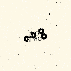 Oc1ccccc1.Oc1ccccc1.c1ccc(-c2ccccn2)nc1